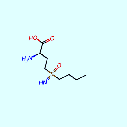 CCCCS(=N)(=O)CC[C@@H](N)C(=O)O